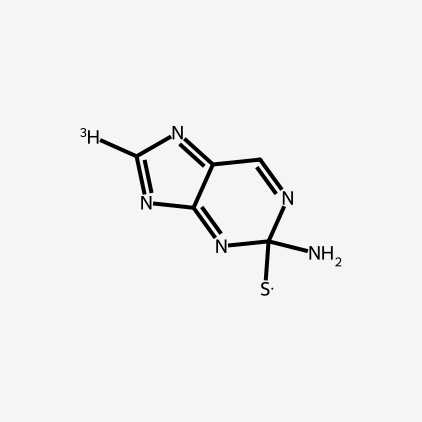 [3H]C1=NC2=NC(N)([S])N=CC2=N1